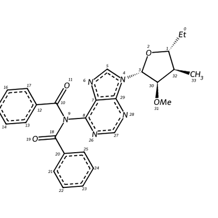 CC[C@H]1O[C@@H](n2cnc3c(N(C(=O)c4ccccc4)C(=O)c4ccccc4)ncnc32)[C@H](OC)[C@@H]1C